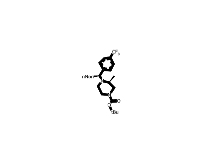 CCCCCCCCC[C@@H](c1ccc(C(F)(F)F)cc1)N1CCN(C(=O)OC(C)(C)C)C[C@@H]1C